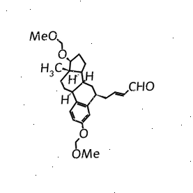 COCOc1ccc2c(c1)[C@H](C/C=C/C=O)C[C@@H]1[C@@H]2CC[C@]2(C)[C@@H](OCOC)CC[C@@H]12